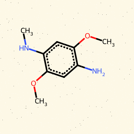 CNc1cc(OC)c(N)cc1OC